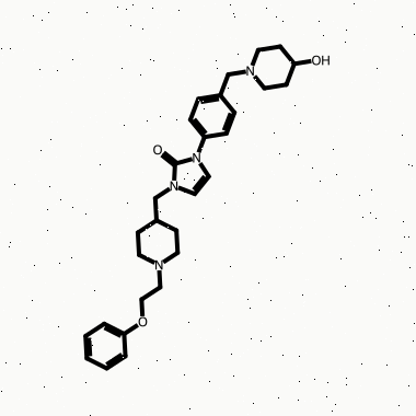 O=c1n(CC2CCN(CCOc3ccccc3)CC2)ccn1-c1ccc(CN2CCC(O)CC2)cc1